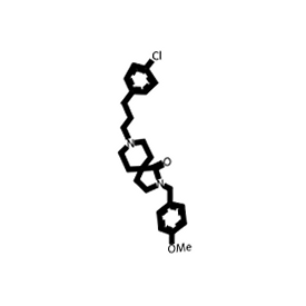 COc1ccc(CN2CCC3(CCN(CC[CH]c4ccc(Cl)cc4)CC3)C2=O)cc1